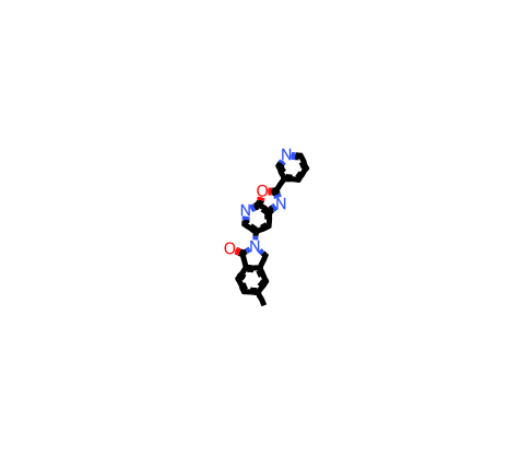 Cc1ccc2c(c1)CN(c1cnc3oc(-c4cccnc4)nc3c1)C2=O